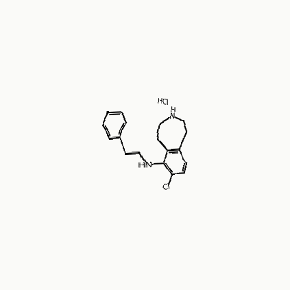 Cl.Clc1ccc2c(c1NCCc1ccccc1)CCNCC2